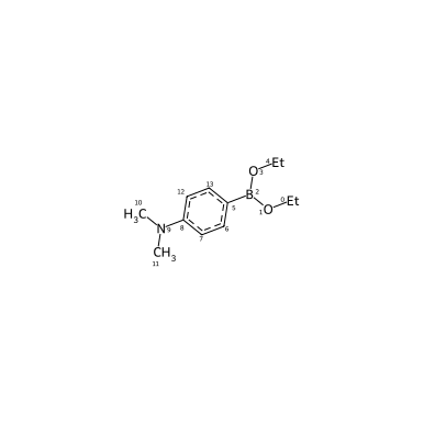 CCOB(OCC)c1ccc(N(C)C)cc1